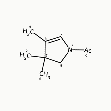 CC(=O)N1C=C(C)C(C)(C)C1